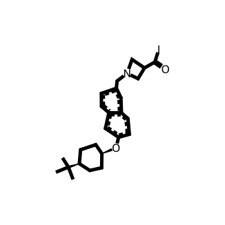 CC(C)(C)[C@H]1CC[C@@H](Oc2ccc3cc(CN4CC(C(=O)I)C4)ccc3c2)CC1